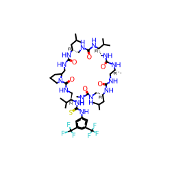 CNC(=O)NC[C@@H](CC(C)C)NC(=O)NC[C@@H](C)NC(=O)NC[C@H](NC(=O)NC[C@@H](CC(C)C)NC(=O)NCC1CCCN1C(=O)NC[C@@H](NC(=S)Nc1cc(C(F)(F)F)cc(C(F)(F)F)c1)C(C)C)C(C)C